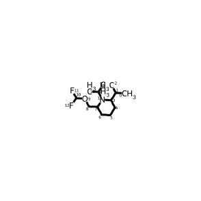 CC(C)C1CCCC(COC(F)F)N1C(C)C